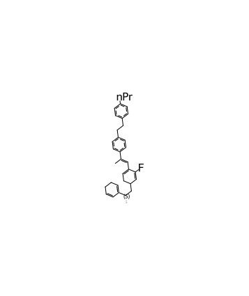 CCCc1ccc(CCc2ccc(C(C)=CC3=CCC(C[C@H](C)C4=CCCC=C4)C=C3F)cc2)cc1